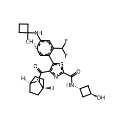 CC1(Nc2cc(C(F)F)c(-c3sc(C(=O)N[C@H]4C[C@H](O)C4)nc3C(=O)N3[C@H]4CC[C@H]3CC4)cn2)CCC1